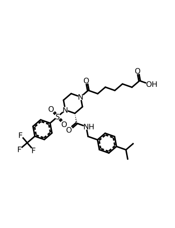 CC(C)c1ccc(CNC(=O)[C@H]2CN(C(=O)CCCCCC(=O)O)CCN2S(=O)(=O)c2ccc(C(F)(F)F)cc2)cc1